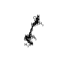 Cc1ncsc1-c1ccc(CNC(=O)[C@@H]2CCCN2C(=O)[C@@H](NC(=O)COCCCOCCCCOc2ccc(N3C(=S)N(c4cnc(C#N)c(Cl)c4)C(=O)C3(C)C)cc2)C(C)(C)C)cc1